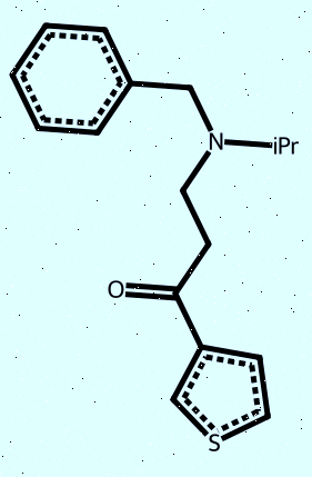 CC(C)N(CCC(=O)c1ccsc1)Cc1ccccc1